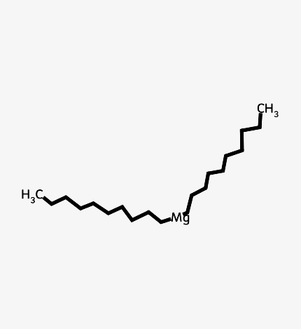 CCCCCCCCC[CH2][Mg][CH2]CCCCCCCCC